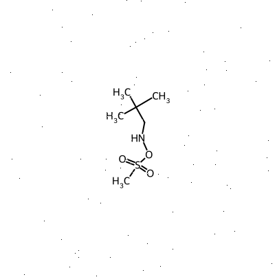 CC(C)(C)CNOS(C)(=O)=O